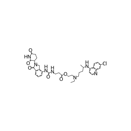 CCN(CCCC(C)Nc1ccnc2cc(Cl)ccc12)CCOC(=O)CCNC(=O)Nc1cccc2c1CN(C1CCC(=O)NC1=O)C2=O